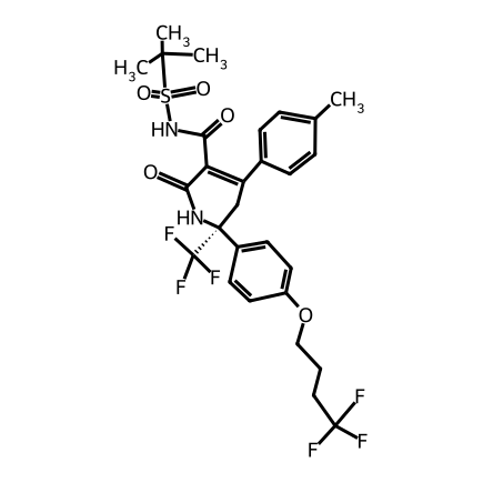 Cc1ccc(C2=C(C(=O)NS(=O)(=O)C(C)(C)C)C(=O)N[C@@](c3ccc(OCCCC(F)(F)F)cc3)(C(F)(F)F)C2)cc1